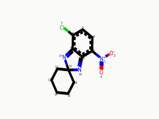 O=[N+]([O-])c1ccc(Cl)c2c1=NC1(CCCCC1)N=2